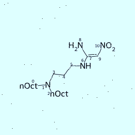 CCCCCCCCN(CCCCCCCC)CCCN/C(N)=C/[N+](=O)[O-]